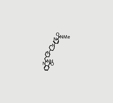 CNC(=O)c1ccc(N2CCC(N3CCC(Cc4nc5ccccc5c(=O)[nH]4)CC3)CC2)cn1